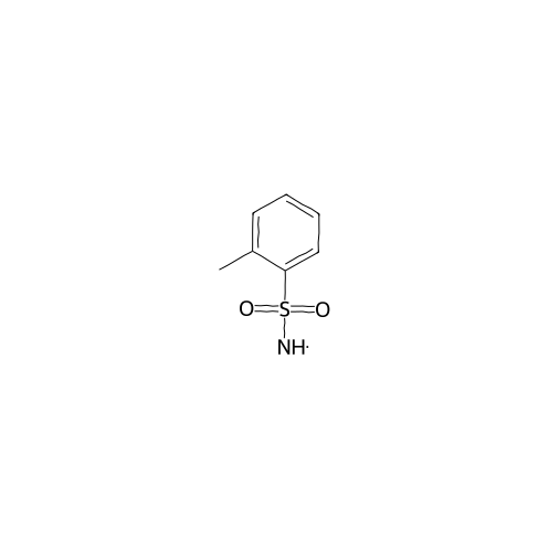 Cc1ccccc1S([NH])(=O)=O